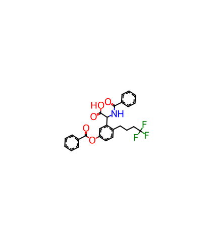 O=C(NC(C(=O)O)c1cc(OC(=O)c2ccccc2)ccc1CCCC(F)(F)F)c1ccccc1